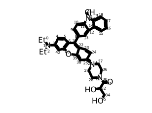 CCN(CC)c1ccc2c(-c3ccc4c(c3)c3ccccc3n4C)c3ccc(=[N+]4CCN(C(=O)C(O)CO)CC4)cc-3oc2c1